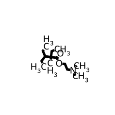 CCC(CC)C(C)(CC)C(=O)OCCN(C)C